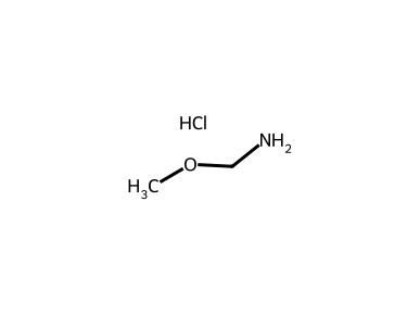 COCN.Cl